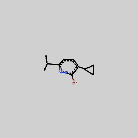 CC(C)c1ccc(C2CC2)c(Br)n1